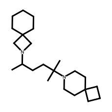 CC(CCC(C)(C)N1CCC2(CCC2)CC1)N1CC2(CCCCC2)C1